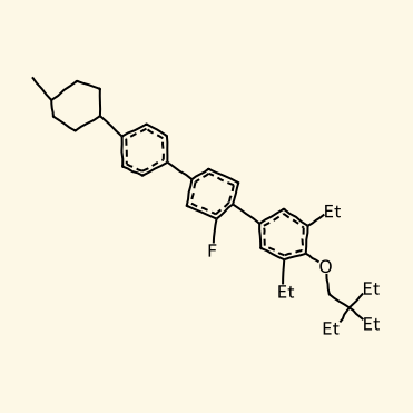 CCc1cc(-c2ccc(-c3ccc(C4CCC(C)CC4)cc3)cc2F)cc(CC)c1OCC(CC)(CC)CC